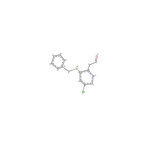 O=CCc1ncc(Br)cc1SCc1ccccc1